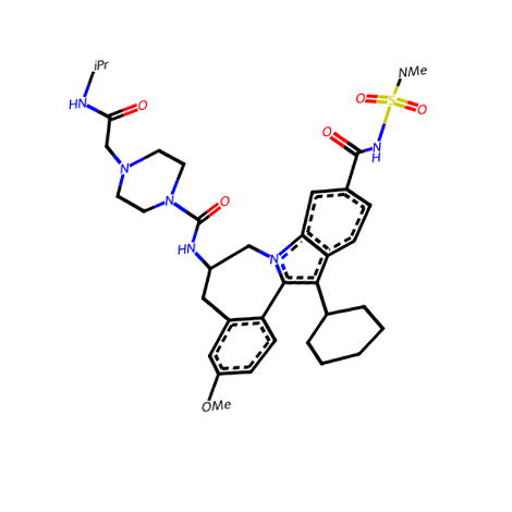 CNS(=O)(=O)NC(=O)c1ccc2c(C3CCCCC3)c3n(c2c1)CC(NC(=O)N1CCN(CC(=O)NC(C)C)CC1)Cc1cc(OC)ccc1-3